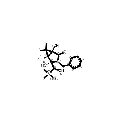 CC1(C)[C@]2(O)[C@@]1(O)C(O)N(Cc1ccccc1)[C@@]2(O)C(O)[Si](C)(C)C(C)(C)C